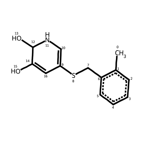 Cc1ccccc1CSC1=CNC(O)C(O)=C1